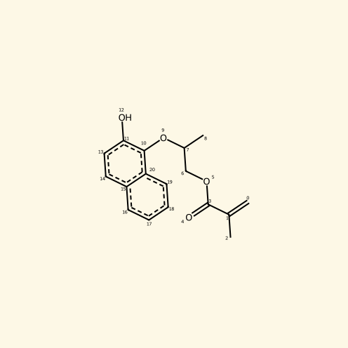 C=C(C)C(=O)OCC(C)Oc1c(O)ccc2ccccc12